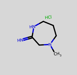 CN1CCCNC(=N)C1.Cl